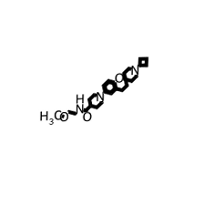 COCCNC(=O)C1CCN(c2ccc3c(c2)CCC2(CCN(C4CCC4)CC2)O3)CC1